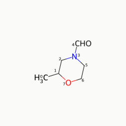 CC1CN(C=O)CCO1